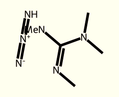 CN=C(NC)N(C)C.[N-]=[N+]=N